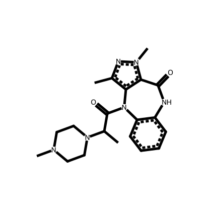 Cc1nn(C)c2c1N(C(=O)C(C)N1CCN(C)CC1)c1ccccc1NC2=O